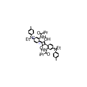 CCN(c1ccc(C)cc1)c1ccc(C2=C(O)/C(=C3C=C/C(=[N+](\CC)c4ccc(C)cc4)C=C/3NC(=O)C(C)C)C2=O)c(NC(=O)C(C)C)c1